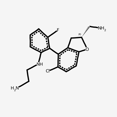 NCCNc1cccc(F)c1-c1c(Cl)ccc2c1C[C@H](CN)O2